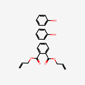 C=CCOC(=O)c1ccccc1C(=O)OCC=C.Oc1ccccc1.Oc1ccccc1